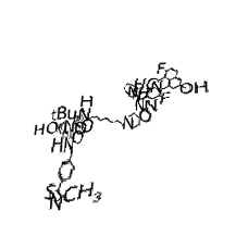 C#Cc1c(F)ccc2cc(O)cc(-c3ncc4c(N5CC6CCC(C5)N6)nc(OC5CCN(CCCCCCC(=O)N[C@H](C(=O)N6C[C@H](O)C[C@H]6C(=O)NCc6ccc(-c7scnc7C)cc6)C(C)(C)C)CC5)nc4c3F)c12